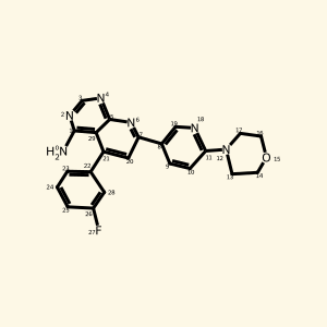 Nc1ncnc2nc(-c3ccc(N4CCOCC4)nc3)cc(-c3cccc(F)c3)c12